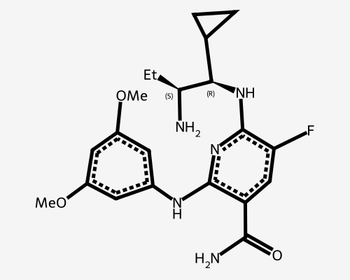 CC[C@H](N)[C@H](Nc1nc(Nc2cc(OC)cc(OC)c2)c(C(N)=O)cc1F)C1CC1